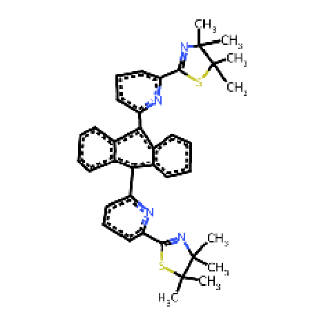 CC1(C)N=C(c2cccc(-c3c4ccccc4c(-c4cccc(C5=NC(C)(C)C(C)(C)S5)n4)c4ccccc34)n2)SC1(C)C